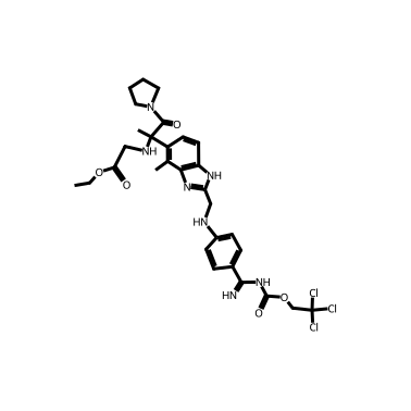 CCOC(=O)CNC(C)(C(=O)N1CCCC1)c1ccc2[nH]c(CNc3ccc(C(=N)NC(=O)OCC(Cl)(Cl)Cl)cc3)nc2c1C